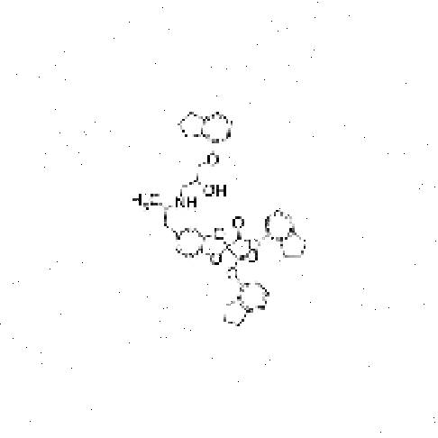 CC(Cc1ccc2c(c1)OC(C(=O)Oc1cccc3c1CCC3)(C(=O)Oc1cccc3c1CCC3)O2)NCC(O)COc1cccc2c1CCC2